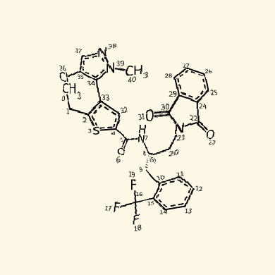 CCc1sc(C(=O)N[C@@H](Cc2ccccc2C(F)(F)F)CN2C(=O)c3ccccc3C2=O)cc1-c1c(Cl)cnn1C